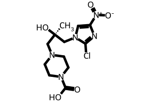 C[C@@](O)(CN1CCN(C(=O)O)CC1)Cn1cc([N+](=O)[O-])nc1Cl